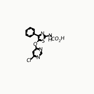 O=C(O)Nc1nc(-c2ccccc2)c(Oc2cc(Cl)ncn2)s1